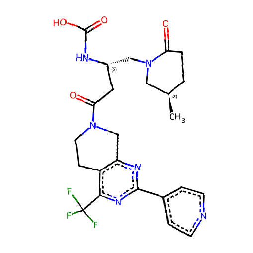 C[C@@H]1CCC(=O)N(C[C@H](CC(=O)N2CCc3c(nc(-c4ccncc4)nc3C(F)(F)F)C2)NC(=O)O)C1